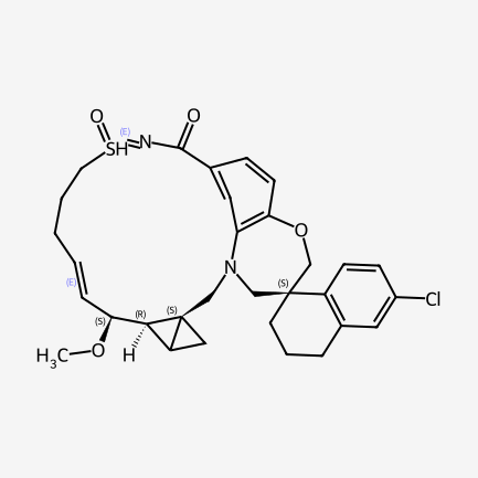 CO[C@H]1/C=C/CCC/[SH](=O)=N\C(=O)c2ccc3c(c2)N(C[C@@]2(CCCc4cc(Cl)ccc42)CO3)C[C@@]23CC2[C@@H]13